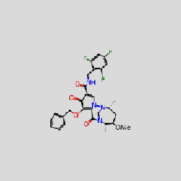 CO[C@@H]1C[C@@H](C)N2CN(C(=O)c3c(OCc4ccccc4)c(=O)c(C(=O)NCc4c(F)cc(F)cc4F)cn32)[C@H]1C